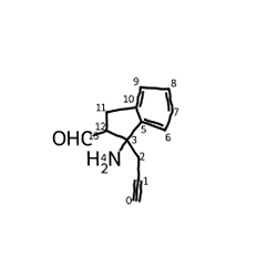 C#CCC1(N)c2ccccc2CC1C=O